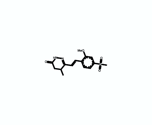 COc1cc(S(C)(=O)=O)ccc1C=CC1=NNC(=O)CC1C